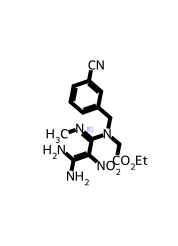 CCOC(=O)CN(Cc1cccc(C#N)c1)/C(=N/C)C(=C(N)N)[N+](=O)[O-]